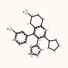 Cc1cc(-c2c3c(nc(C4CCCC4)c2-c2nn[nH]n2)CCC(C(F)(F)F)C3)ccn1